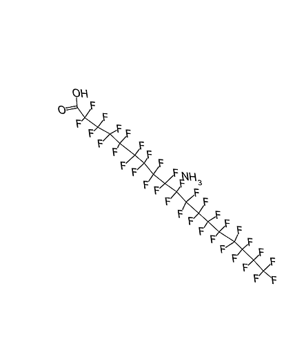 N.O=C(O)C(F)(F)C(F)(F)C(F)(F)C(F)(F)C(F)(F)C(F)(F)C(F)(F)C(F)(F)C(F)(F)C(F)(F)C(F)(F)C(F)(F)C(F)(F)C(F)(F)C(F)(F)C(F)(F)C(F)(F)F